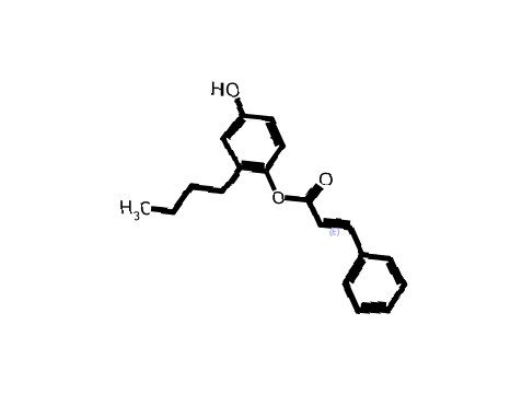 CCCCc1cc(O)ccc1OC(=O)/C=C/c1ccccc1